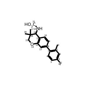 Cc1cc(F)ccc1-c1ccc2c(c1)OCC(C)(C)C2NC(=O)O